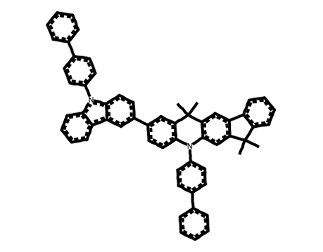 CC1(C)c2ccccc2-c2cc3c(cc21)N(c1ccc(-c2ccccc2)cc1)c1ccc(-c2ccc4c(c2)c2ccccc2n4-c2ccc(-c4ccccc4)cc2)cc1C3(C)C